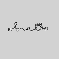 CCC(=O)OCCOCc1cn(CC)nn1